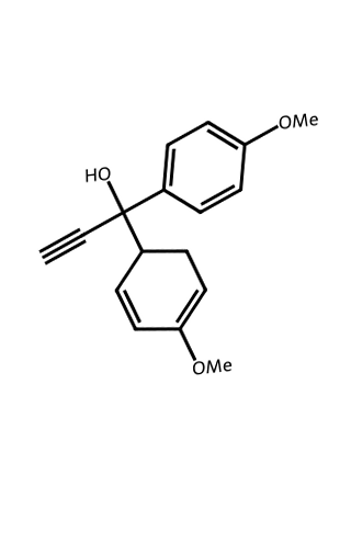 C#CC(O)(c1ccc(OC)cc1)C1C=CC(OC)=CC1